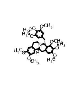 COc1cc2c(cc1OC)[C@H]1Cc3cc(OC)c(OC)c(OC)c3[C@@H](Cc3cc(OC)c(OC)c(OC)c3)N1CC2